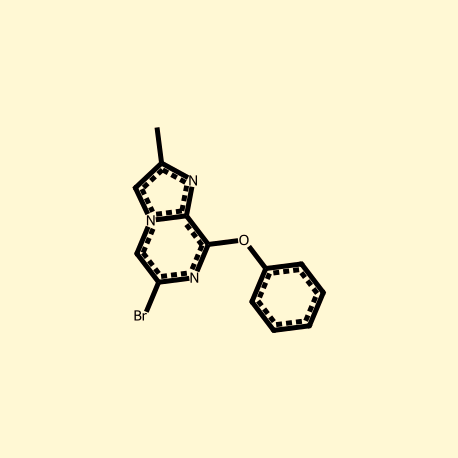 Cc1cn2cc(Br)nc(Oc3ccccc3)c2n1